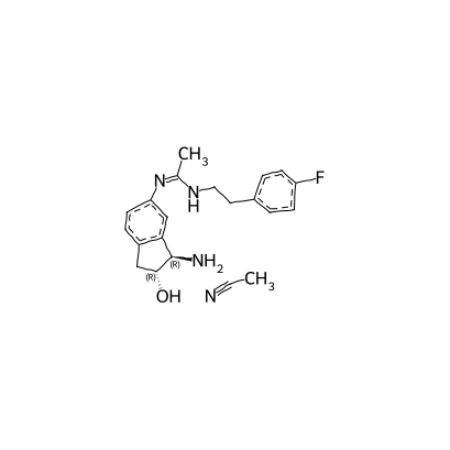 CC#N.CC(=Nc1ccc2c(c1)[C@@H](N)[C@H](O)C2)NCCc1ccc(F)cc1